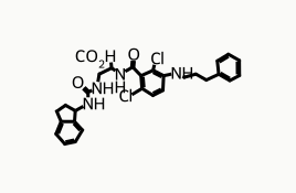 O=C(NCC(NC(=O)c1c(Cl)ccc(NCCCc2ccccc2)c1Cl)C(=O)O)NC1CCc2ccccc21